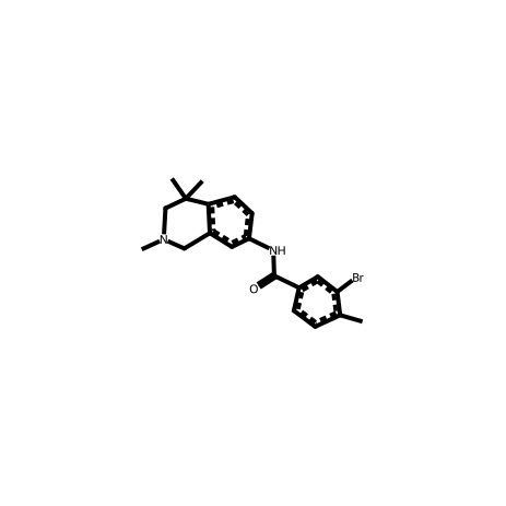 Cc1ccc(C(=O)Nc2ccc3c(c2)CN(C)CC3(C)C)cc1Br